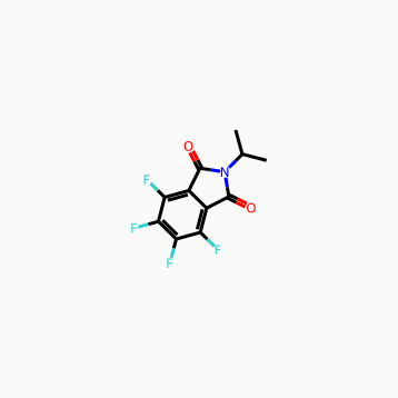 CC(C)N1C(=O)c2c(F)c(F)c(F)c(F)c2C1=O